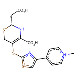 C[n+]1ccc(-c2csc(SC3=C(C(=O)O)N[C@@H](CC(=O)O)SC3)n2)cc1